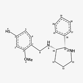 COc1cc(S)ccc1CN[C@H]1CCCN[C@H]1c1ccccc1